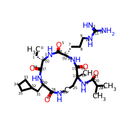 CC[C@@H]1NC(=O)[C@H](CCCNC(=N)N)NC(=O)[C@](C)(NC(=O)C(C)C)CCNC(=O)[C@@H](CC2CCC2)NC1=O